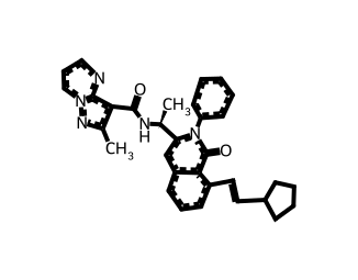 Cc1nn2cccnc2c1C(=O)N[C@@H](C)c1cc2cccc(/C=C/C3CCCC3)c2c(=O)n1-c1ccccc1